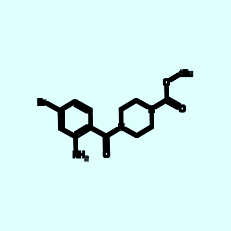 CC(C)(C)OC(=O)N1CCN(C(=O)c2ccc(Br)cc2N)CC1